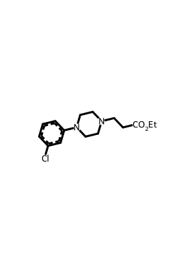 CCOC(=O)CCN1CCN(c2cccc(Cl)c2)CC1